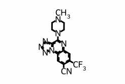 CN1CCN(c2nc3cc(C(F)(F)F)c(C#N)cc3n3nnnc23)CC1